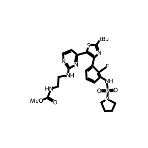 COC(=O)NCCNc1nccc(-c2sc(C(C)(C)C)nc2-c2cccc(NS(=O)(=O)N3CCCC3)c2F)n1